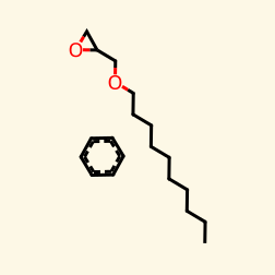 CCCCCCCCCCOCC1CO1.c1ccccc1